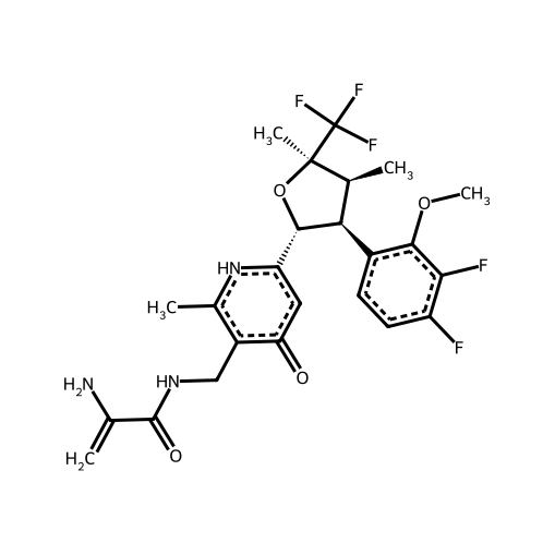 C=C(N)C(=O)NCc1c(C)[nH]c([C@@H]2O[C@@](C)(C(F)(F)F)[C@@H](C)[C@H]2c2ccc(F)c(F)c2OC)cc1=O